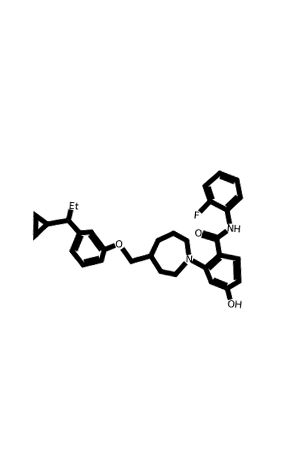 CCC(c1cccc(OCC2CCCN(c3cc(O)ccc3C(=O)Nc3ccccc3F)CC2)c1)C1CC1